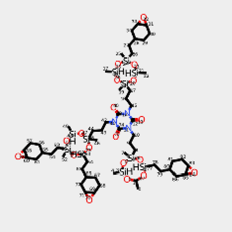 CC1O[SiH](C)O[Si](C)(CCCn2c(=O)n(CCC[Si]3(C)O[SiH](C)O[Si](C)(CCC4CCC5OC5C4)O[SiH](C)O3)c(=O)n(CCC[Si]3(C)O[SiH](C)O[Si](C)(CCC4CCC5OC5C4)O[SiH](CCC4CCC5OC5C4)O3)c2=O)O[SiH](CCC2CCC3OC3C2)O1